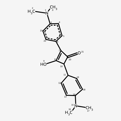 CN(C)c1ccc(C2=C(O)C(C3C=CC(N(C)C)C=C3)C2=O)cc1